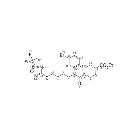 CCOC(=O)C1CCN(C(=O)N(CCCCCc2noc(C(C)(C)F)n2)c2cccc(Br)c2)CC1